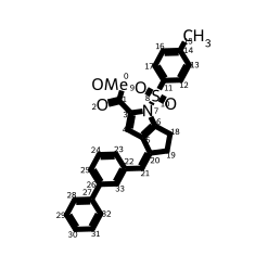 COC(=O)c1cc2c(n1S(=O)(=O)c1ccc(C)cc1)CCC2=Cc1cccc(-c2ccccc2)c1